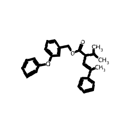 CC(=CC(C(=O)OCc1cccc(Oc2ccccc2)c1)C(C)C)c1ccccc1